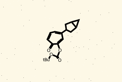 CC(C)(C)OC(=O)Oc1cc(C2CC3CC3C2)cccc1=O